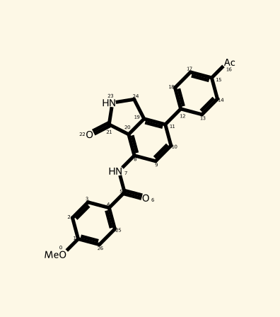 COc1ccc(C(=O)Nc2ccc(-c3ccc(C(C)=O)cc3)c3c2C(=O)NC3)cc1